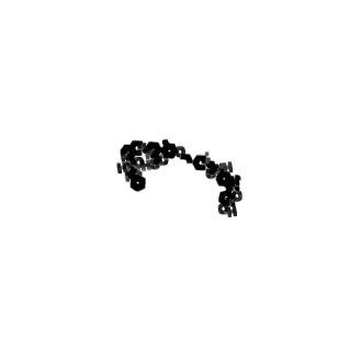 Cc1cc(OCCC[C@H]2CCN(CC(=O)Nc3ccc4c(C5CCC(=O)NC5=O)nn(C)c4c3)[C@@H](C)C2)ccc1-c1ccc(N2CCc3ccnc(C(=O)Nc4nc5ccccc5s4)c3C2)nc1C(=O)O